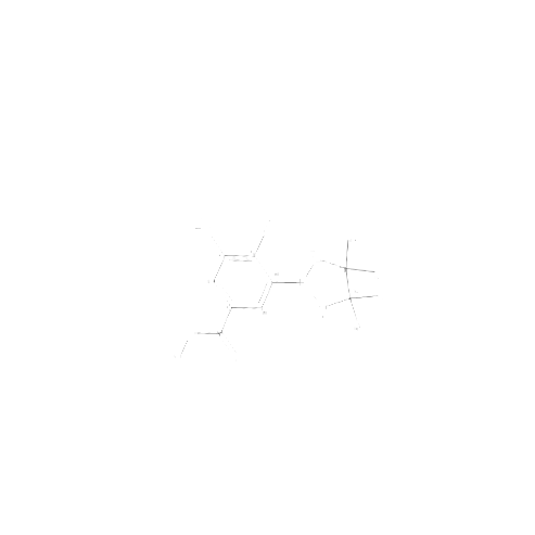 COC(=O)c1cc(O)c(F)c(B2OC(C)(C)C(C)(C)O2)c1